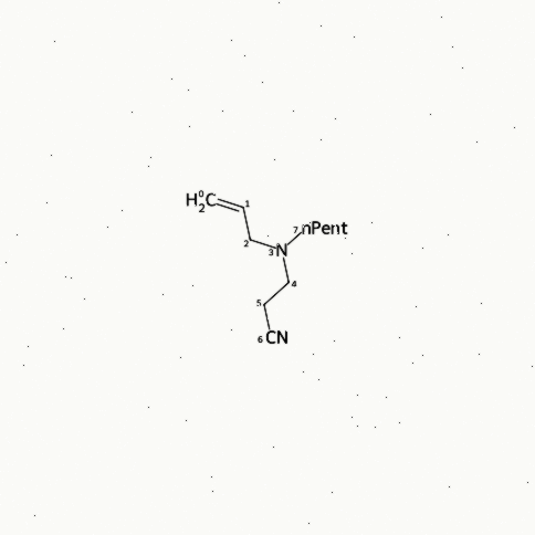 C=CCN(CCC#N)CCCCC